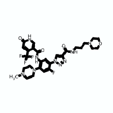 CN1CCN(c2cc(F)c(-n3cc(C(=O)NCCCN4CCOCC4)nn3)cc2NC(=O)c2c[nH]c(=O)cc2C(F)(F)F)CC1